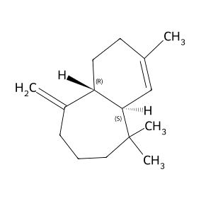 C=C1CCCC(C)(C)[C@@H]2C=C(C)CC[C@@H]12